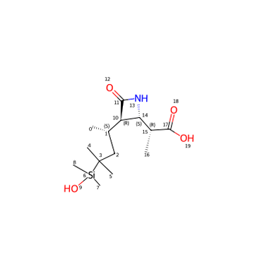 C[C@@H](CC(C)(C)[Si](C)(C)O)[C@H]1C(=O)N[C@@H]1[C@@H](C)C(=O)O